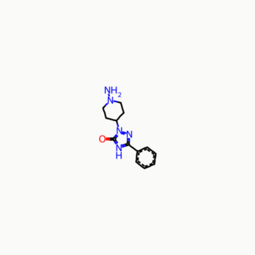 NN1CCC(n2nc(-c3ccccc3)[nH]c2=O)CC1